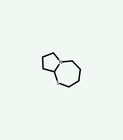 C1CCN2CCCC2SC1